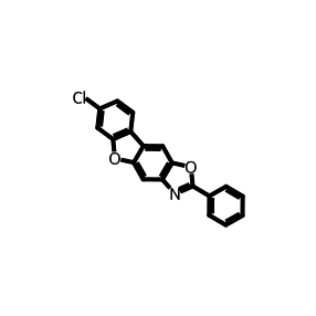 Clc1ccc2c(c1)oc1cc3nc(-c4ccccc4)oc3cc12